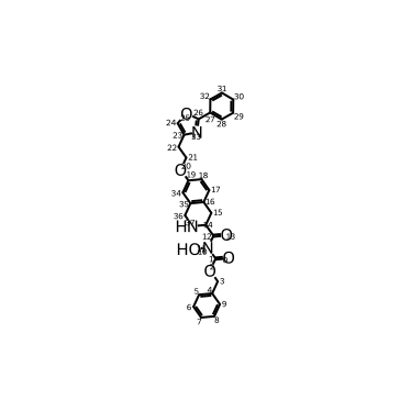 O=C(OCc1ccccc1)N(O)C(=O)C1Cc2ccc(OCCc3coc(-c4ccccc4)n3)cc2CN1